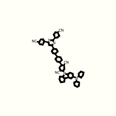 N#Cc1ccc(-c2cc(-c3ccc(-c4ccc(-c5cc(C#N)c(-n6c7ccccc7c7cc(N(c8ccccc8)c8ccccc8)ccc76)cc5C#N)cc4)cc3)nc(-c3ccc(C#N)cc3)n2)cc1